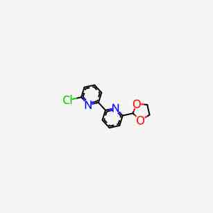 Clc1cccc(-c2cccc(C3OCCO3)n2)n1